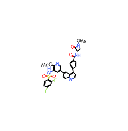 COc1ncc(-c2ccc3nccc(-c4ccc(C(=O)N[C@@H]5CN(OC)C5=O)cc4)c3c2)cc1NS(=O)(=O)c1ccc(F)cc1F